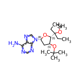 CCC(CC)(O[SiH3])[C@H]1O[C@@H](n2cnc3c(N)ncnc32)C[C@@H]1OC(C)(C)C